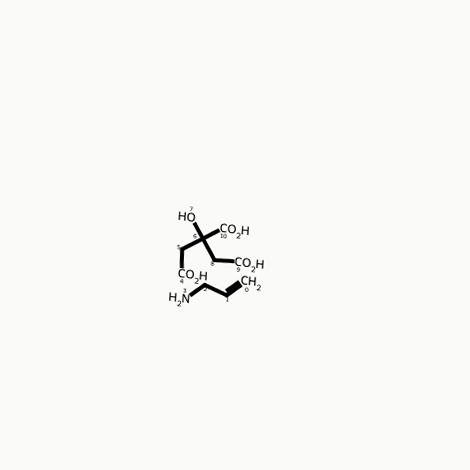 C=CCN.O=C(O)CC(O)(CC(=O)O)C(=O)O